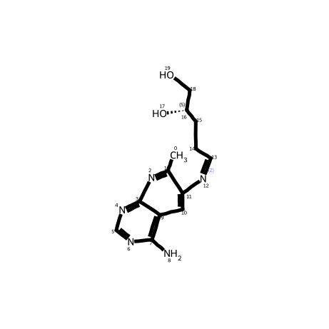 Cc1nc2ncnc(N)c2cc1/N=C\CC[C@H](O)CO